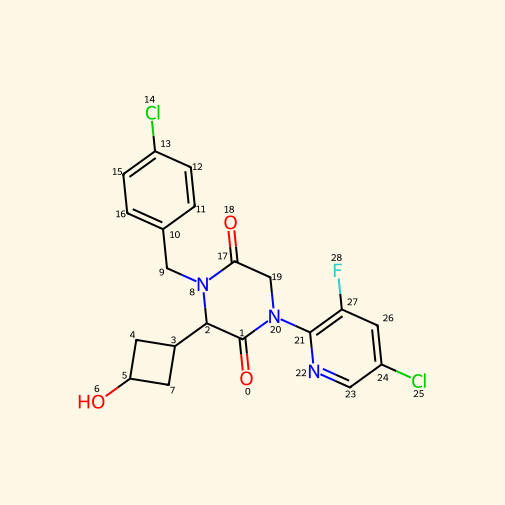 O=C1C(C2CC(O)C2)N(Cc2ccc(Cl)cc2)C(=O)CN1c1ncc(Cl)cc1F